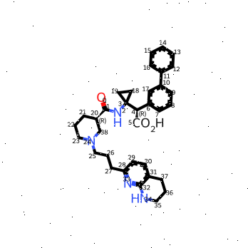 O=C(NC1([C@H](C(=O)O)c2cccc(-c3ccccc3)c2)CC1)[C@@H]1CCCN(CCCc2ccc3c(n2)NCCC3)C1